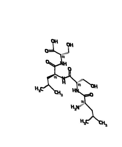 CC(C)C[C@H](NC(=O)[C@H](CO)NC(=O)[C@@H](N)CC(C)C)C(=O)N[C@@H](CO)C(=O)O